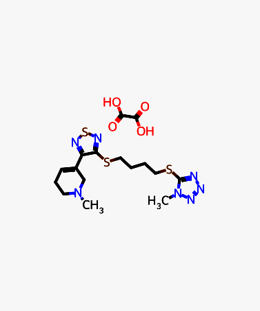 CN1CCC=C(c2nsnc2SCCCCSc2nnnn2C)C1.O=C(O)C(=O)O